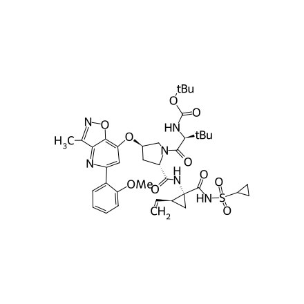 C=C[C@@H]1C[C@]1(NC(=O)[C@@H]1C[C@@H](Oc2cc(-c3ccccc3OC)nc3c(C)noc23)CN1C(=O)[C@@H](NC(=O)OC(C)(C)C)C(C)(C)C)C(=O)NS(=O)(=O)C1CC1